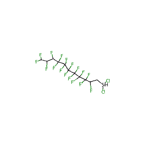 FC(F)C(F)C(F)C(F)(F)C(F)(F)C(F)(F)C(F)(F)C(F)(F)C(F)(F)C(F)C[SiH](Cl)Cl